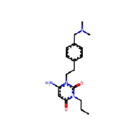 CCCn1c(=O)cc(N)n(CCc2ccc(CN(C)C)cc2)c1=O